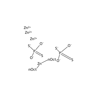 CCCCCCC[CH2][Zn][CH2]CCCCCCC.[O-]P([O-])(=S)[S-].[O-]P([O-])(=S)[S-].[Zn+2].[Zn+2].[Zn+2]